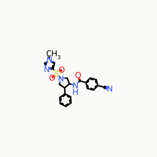 Cn1cnc(S(=O)(=O)N2CC(NC(=O)c3ccc(C#N)cc3)C(c3ccccc3)C2)c1